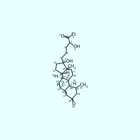 CCC(=O)C(O)CCCC1(O)CC[C@H]2[C@@H]3CCC4=CC(=O)CC(C)[C@]4(C)[C@@H]3CC[C@@]21C